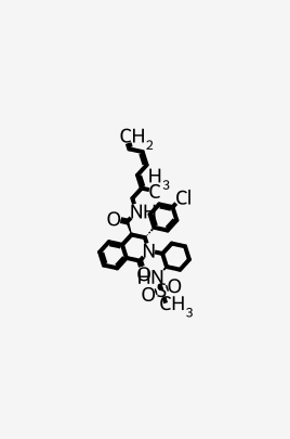 C=C/C=C\C=C(/C)CNC(=O)[C@@H]1c2ccccc2C(=O)N(C2CCCC[C@@H]2NS(C)(=O)=O)[C@H]1c1ccc(Cl)cc1